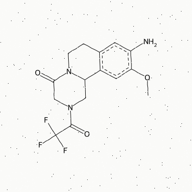 COc1cc2c(cc1N)CCN1C(=O)CN(C(=O)C(F)(F)F)CC21